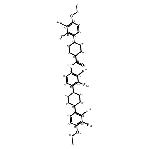 CCOc1ccc(C2CCC(C(=O)Oc3ccc(C4CCC(c5ccc(OCC)c(F)c5F)CC4)c(F)c3F)CC2)c(F)c1F